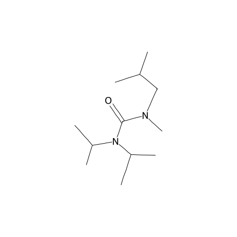 CC(C)CN(C)C(=O)N(C(C)C)C(C)C